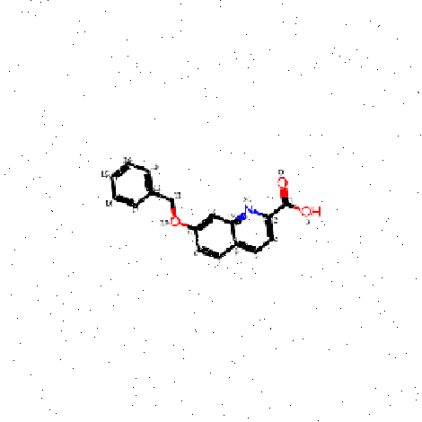 O=C(O)c1ccc2ccc(OCc3ccccc3)cc2n1